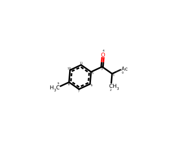 CC(=O)C(C)C(=O)c1ccc(C)cc1